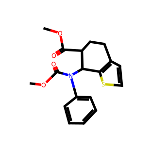 COC(=O)C1CCc2ccsc2C1N(C(=O)OC)c1ccccc1